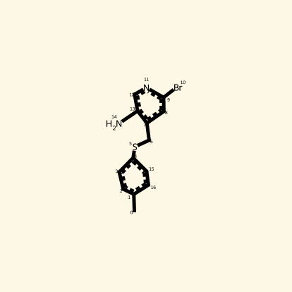 Cc1ccc(SCc2cc(Br)ncc2N)cc1